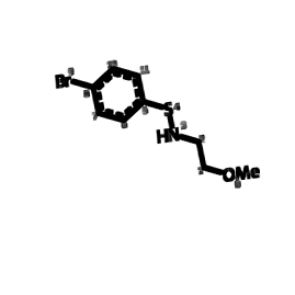 COCCNSc1ccc(Br)cc1